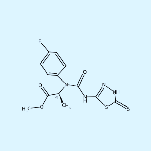 COC(=O)[C@H](C)N(C(=O)Nc1n[nH]c(=S)s1)c1ccc(F)cc1